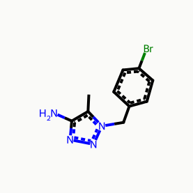 Cc1c(N)nnn1Cc1ccc(Br)cc1